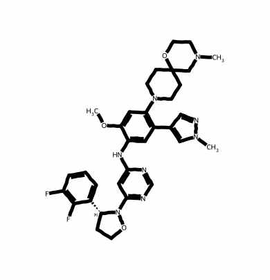 COc1cc(N2CCC3(CC2)CN(C)CCO3)c(-c2cnn(C)c2)cc1Nc1cc(N2OCC[C@@H]2c2cccc(F)c2F)ncn1